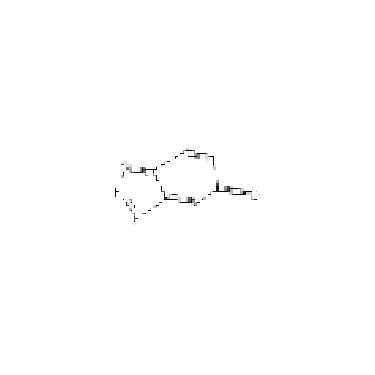 O=C1[C]=C2N=NN=C2C=C1